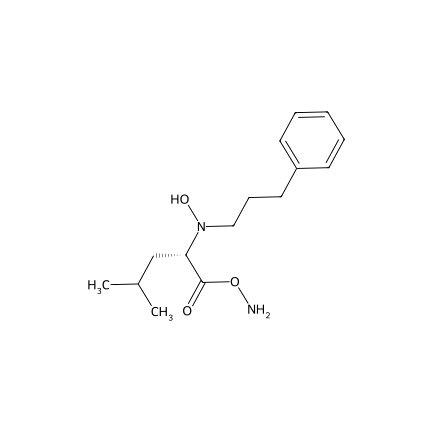 CC(C)C[C@@H](C(=O)ON)N(O)CCCc1ccccc1